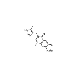 CNc1cc2c(C)cn(Cc3nc[nH]c3C)c(=O)c2cc1Cl